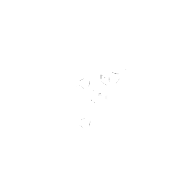 Oc1cccc([C@@]23CCN(CCc4ccccc4)C[C@@]2(O)Cc2c([nH]c4cc(Br)ccc24)C3)c1